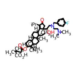 CC(C)C1=C2[C@H]3CC[C@@H]4[C@@]5(C)CC[C@H](OC(=O)CC(C)(C)C(=O)O)C(C)(C)[C@@H]5CC[C@@]4(C)[C@]3(C)CC[C@@]2([C@@H](O)CN(CCN(C)C)Cc2ccc(F)cc2)CC1=O